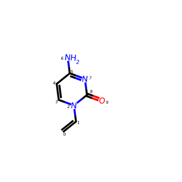 C=Cn1ccc(N)nc1=O